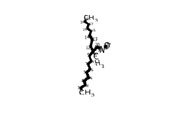 CCCCCCCCCCC(C)(CCCCCCCC)CN=O